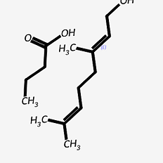 CC(C)=CCC/C(C)=C/CO.CCCC(=O)O